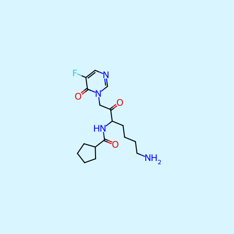 NCCCCC(NC(=O)C1CCCC1)C(=O)Cn1cncc(F)c1=O